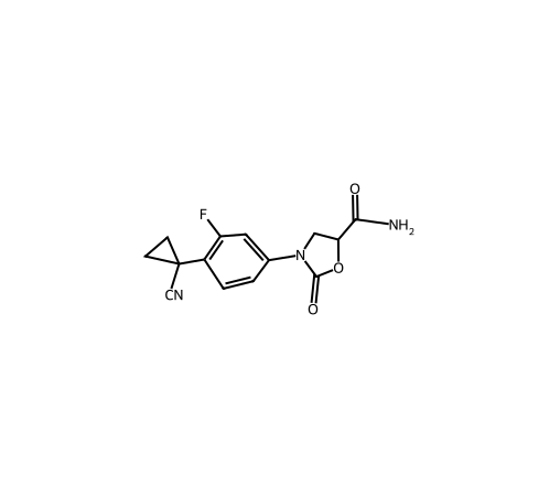 N#CC1(c2ccc(N3CC(C(N)=O)OC3=O)cc2F)CC1